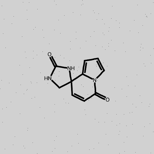 O=C1NCC2(C=CC(=O)n3cccc32)N1